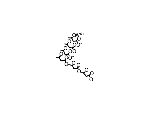 CC(=O)CC(=O)[O-].CC(=O)CC(=O)[O-].CC(=O)CC(=O)[O-].CC(=O)CC(=O)[O-].CC(=O)CC(=O)[O-].CC(=O)CC(=O)[O-].[W+6]